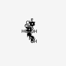 OCC1OC(Sc2ccc(F)c(Cl)c2)C(O)C(n2cc(-c3csc(O)n3)nn2)C1O